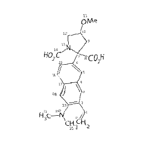 C=Cc1cc2cc(C3(C(=O)O)CC(OC)CN3C(=O)O)ccc2cc1N(C)C